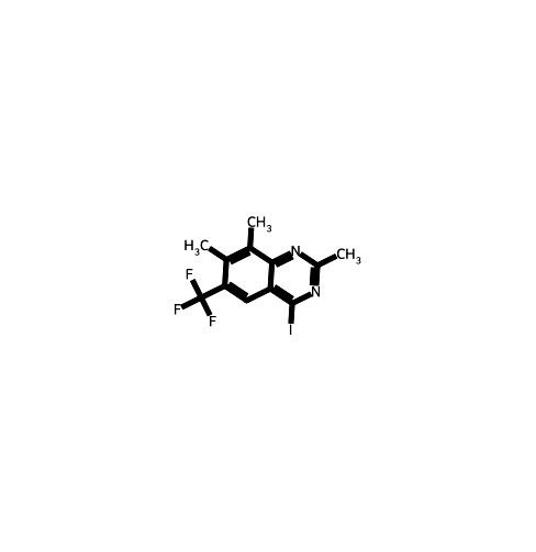 Cc1nc(I)c2cc(C(F)(F)F)c(C)c(C)c2n1